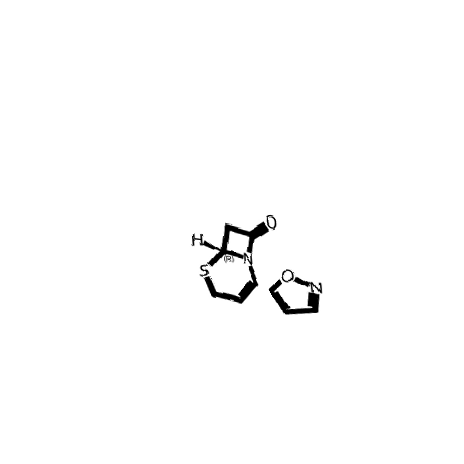 O=C1C[C@H]2SCC=CN12.c1cnoc1